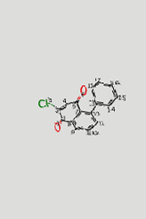 O=C1C(Cl)=CC(=O)c2c1cccc2-c1ccccc1